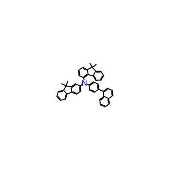 CC1(C)c2ccccc2-c2ccc(N(c3ccc(-c4cccc5ccccc45)cc3)c3cccc4c3-c3ccccc3C4(C)C)cc21